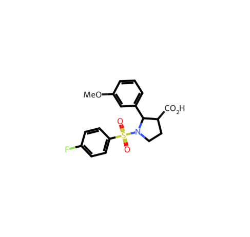 COc1cccc(C2C(C(=O)O)CCN2S(=O)(=O)c2ccc(F)cc2)c1